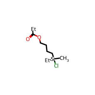 CCC(=O)OCCCC[Si](C)(Cl)CC